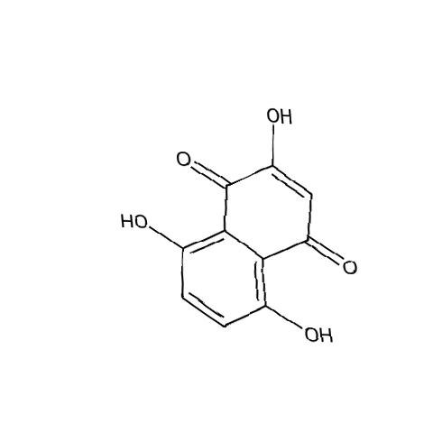 O=C1C=C(O)C(=O)c2c(O)ccc(O)c21